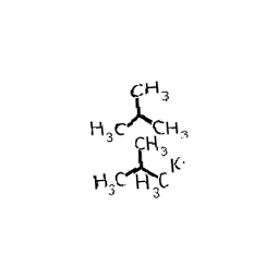 CC(C)C.CC(C)C.[K]